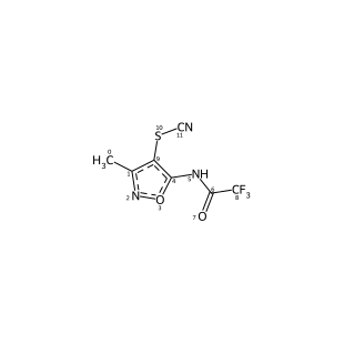 Cc1noc(NC(=O)C(F)(F)F)c1SC#N